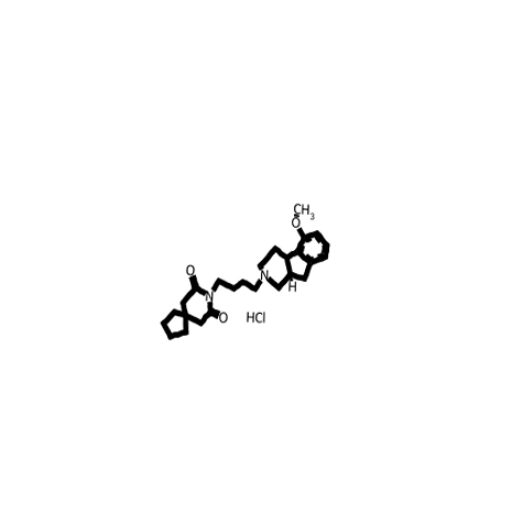 COc1cccc2c1C1CCN(CCCCN3C(=O)CC4(CCCC4)CC3=O)C[C@H]1C2.Cl